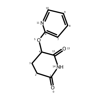 O=C1CCC(Oc2ccccn2)C(=O)N1